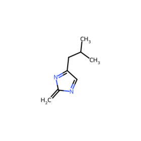 C=C1N=CC(CC(C)C)=N1